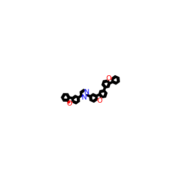 c1ccc2c(c1)oc1ccc(-c3ccc4oc5ccc(-c6nccc(-c7ccc8oc9ccccc9c8c7)n6)cc5c4c3)cc12